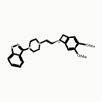 COc1cc2c(cc1OC)[C@@H](CCN1CCN(c3nsc4ccccc34)CC1)C2